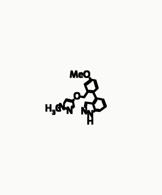 COc1ccc(-c2cccc3[nH]ncc23)c(COc2cnn(C)c2)c1